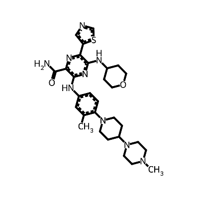 Cc1cc(Nc2nc(NC3CCOCC3)c(-c3cncs3)nc2C(N)=O)ccc1N1CCC(N2CCN(C)CC2)CC1